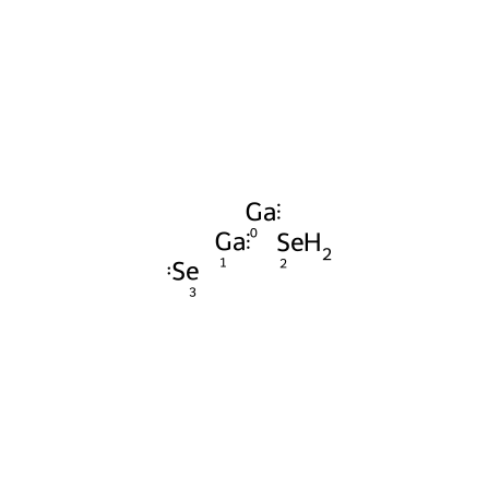 [Ga].[Ga].[SeH2].[Se]